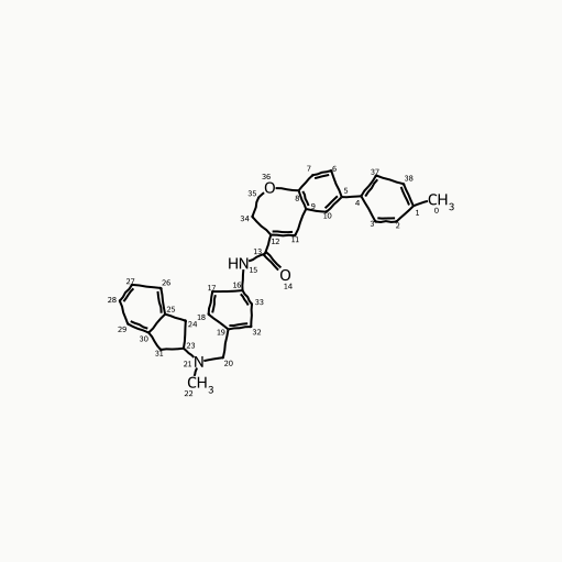 Cc1ccc(-c2ccc3c(c2)C=C(C(=O)Nc2ccc(CN(C)C4Cc5ccccc5C4)cc2)CCO3)cc1